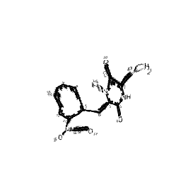 C=c1[nH]c(=O)c(=Cc2ccccc2[N+](=O)[O-])[nH]c1=O